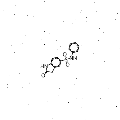 O=C1Cc2cc(S(=O)(=O)Nc3ccccc3)ccc2N1